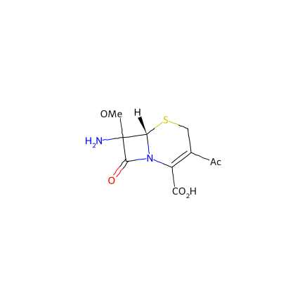 COC1(N)C(=O)N2C(C(=O)O)=C(C(C)=O)CS[C@H]21